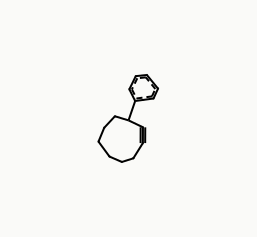 C1#CC(c2ccccc2)CCCCCC1